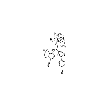 Cc1c(NC(c2nnc(-c3ccc(C#N)cc3)o2)C(C)O[Si](C)(C)C(C)(C)C)ccc(C#N)c1C(F)(F)F